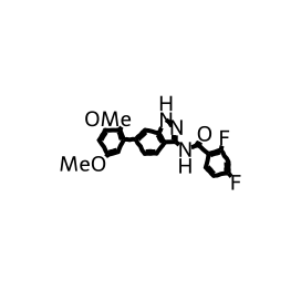 COc1ccc(OC)c(-c2ccc3c(NC(=O)c4ccc(F)cc4F)n[nH]c3c2)c1